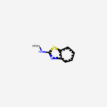 CCCCCCNc1nc2ccccc2s1